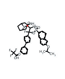 CC(C)Oc1ccc2cc(S(=O)(=O)NC(C(=O)N3C4CCC3CC(N)C4)C(F)(F)c3ccc(-c4ccccc4)cc3)ccc2c1.O=C(O)C(F)(F)F